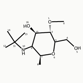 CO[C@@H]1C(CO)O[C@@H](C)C(NC(C)(C)C)[C@H]1O